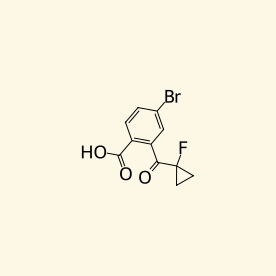 O=C(O)c1ccc(Br)cc1C(=O)C1(F)CC1